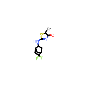 CC(C)C1SC(NC2CC3CC2CC3(F)F)=NC1=O